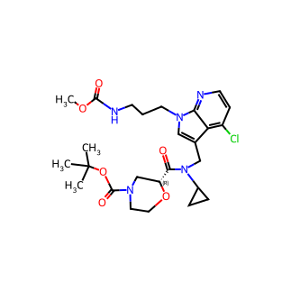 COC(=O)NCCCn1cc(CN(C(=O)[C@H]2CN(C(=O)OC(C)(C)C)CCO2)C2CC2)c2c(Cl)ccnc21